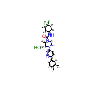 Cc1ccc(-c2ccc(N3CCN(C(=O)NC4CCC(F)(F)CC4)C(C)C3)nn2)cc1C.Cl